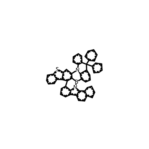 c1ccc(C2(c3ccccc3)c3ccccc3N3c4cc5sc6ccccc6c5c5c4B(c4cccc2c43)n2c3c-5cccc3c3ccc4ccccc4c32)cc1